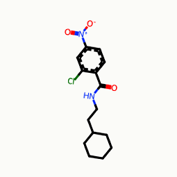 O=C(NCCC1CCCCC1)c1ccc([N+](=O)[O-])cc1Cl